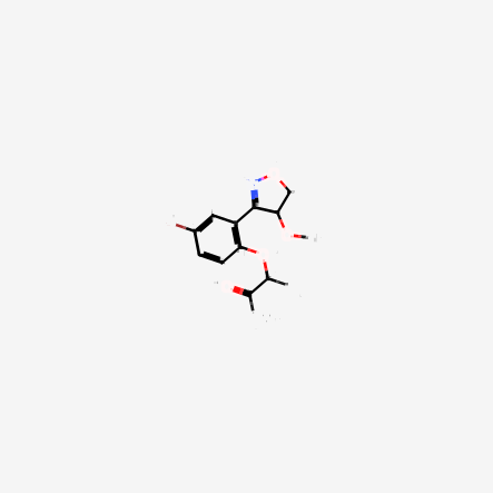 CCCCOC1CON=C1c1cc(Br)ccc1OC(CC)C(=O)OC